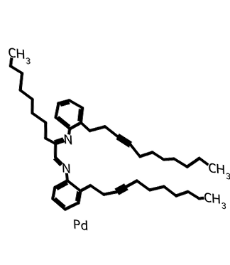 CCCCCCCC#CCCc1ccccc1N=CC(CCCCCCCC)=Nc1ccccc1CCC#CCCCCCCC.[Pd]